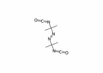 CC(C)(N=C=O)N=NC(C)(C)N=C=O